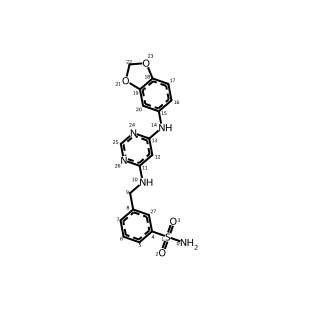 NS(=O)(=O)c1cccc(CNc2cc(Nc3ccc4c(c3)OCO4)ncn2)c1